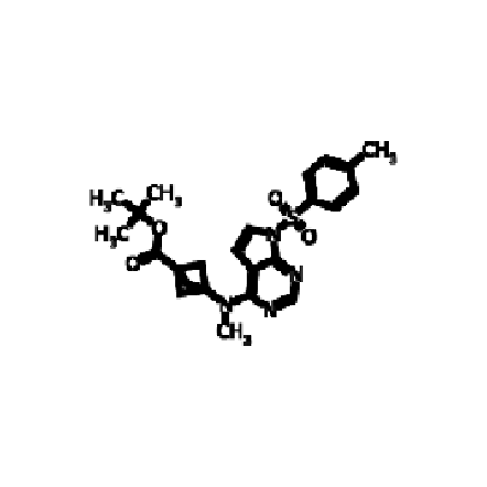 Cc1ccc(S(=O)(=O)n2ccc3c(N(C)C45CC(C(=O)OC(C)(C)C)(C4)C5)ncnc32)cc1